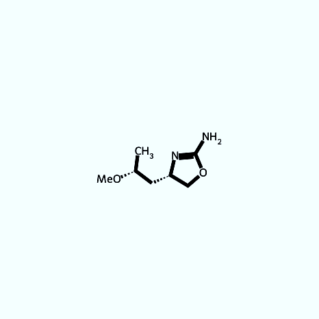 CO[C@H](C)C[C@H]1COC(N)=N1